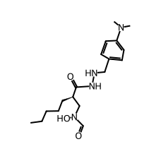 CCCCC[C@H](CN(O)C=O)C(=O)NNCc1ccc(N(C)C)cc1